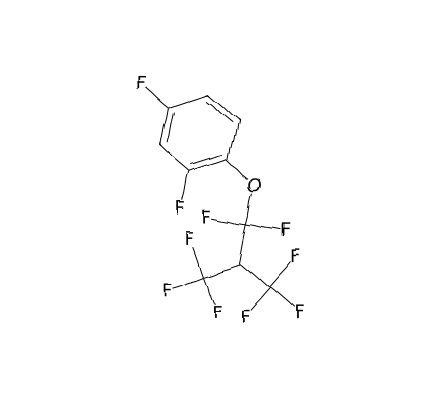 Fc1ccc(OC(F)(F)C(C(F)(F)F)C(F)(F)F)c(F)c1